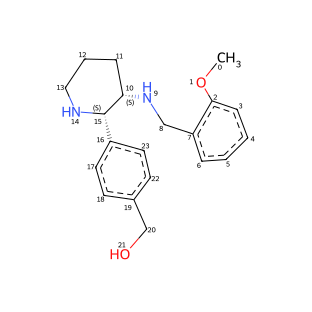 COc1ccccc1CN[C@H]1CCCN[C@H]1c1ccc(CO)cc1